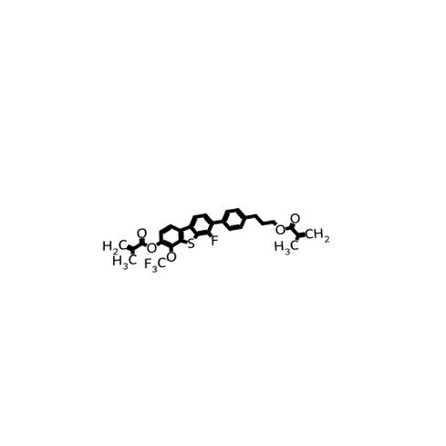 C=C(C)C(=O)OCCCc1ccc(-c2ccc3c(sc4c(OC(F)(F)F)c(OC(=O)C(=C)C)ccc43)c2F)cc1